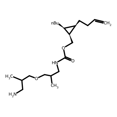 C=CCC[C@@H]1[C@H](CCCC)[C@@H]1COC(=O)NCC(C)COCC(C)CN